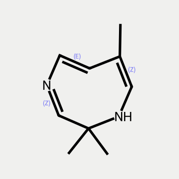 CC1=C\NC(C)(C)\C=N/C=C/1